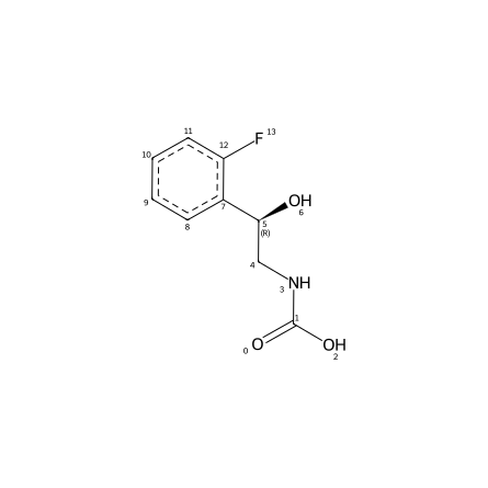 O=C(O)NC[C@H](O)c1ccccc1F